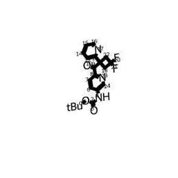 CC(C)(C)OC(=O)Nc1ccc(C(=O)C2(c3ccccn3)CC(F)(F)C2)nc1